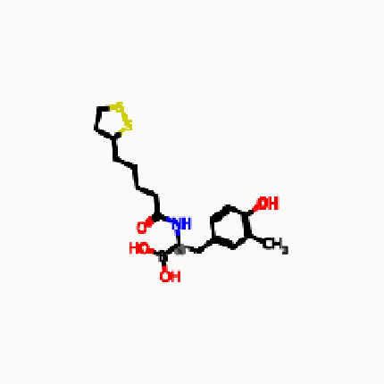 Cc1cc(C[C@@H](NC(=O)CCCCC2CCSS2)B(O)O)ccc1O